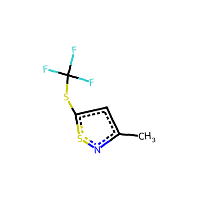 Cc1cc(SC(F)(F)F)sn1